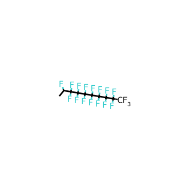 CC(F)C(F)(F)C(F)(F)C(F)(F)C(F)(F)C(F)(F)C(F)(F)C(F)(F)C(F)(F)F